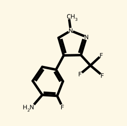 Cn1cc(-c2ccc(N)c(F)c2)c(C(F)(F)F)n1